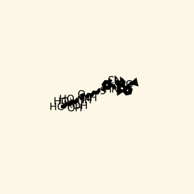 O=C(NCCCCCSc1ccc(Cl)c(CNC2(c3cnccc3-c3ccccc3OC3CC3)CC2)c1)NC[C@H](O)[C@@H](O)[C@H](O)[C@H](O)CO